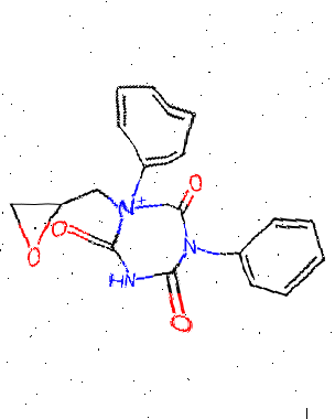 O=C1NC(=O)[N+](CC2CO2)(c2ccccc2)C(=O)N1c1ccccc1